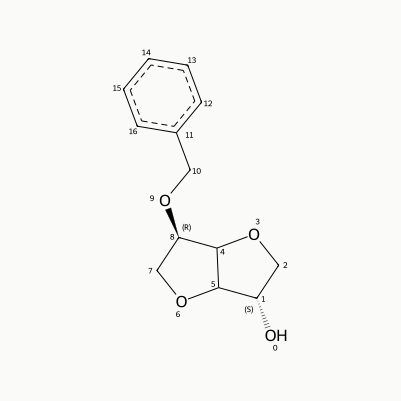 O[C@H]1COC2C1OC[C@H]2OCc1ccccc1